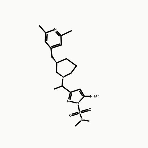 CC(=O)Nc1cc(C(C)N2CCC[C@H](Cc3cc(C)nc(C)c3)C2)nn1S(=O)(=O)N(C)C